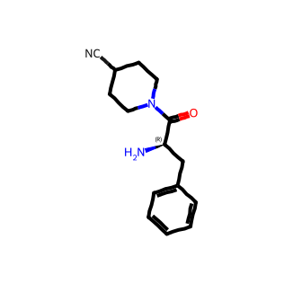 N#CC1CCN(C(=O)[C@H](N)Cc2ccccc2)CC1